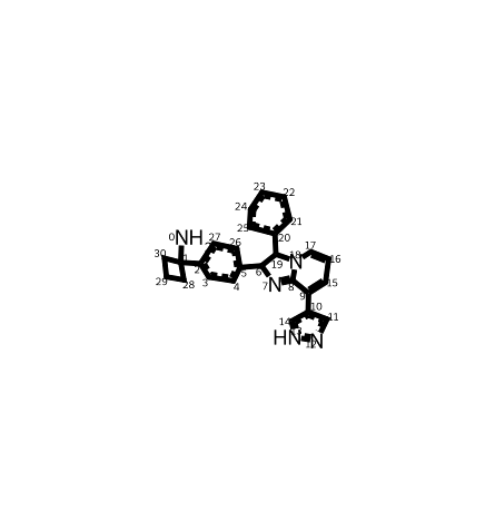 NC1(c2ccc(C3N=C4C(c5cn[nH]c5)=CC=CN4C3c3ccccc3)cc2)CCC1